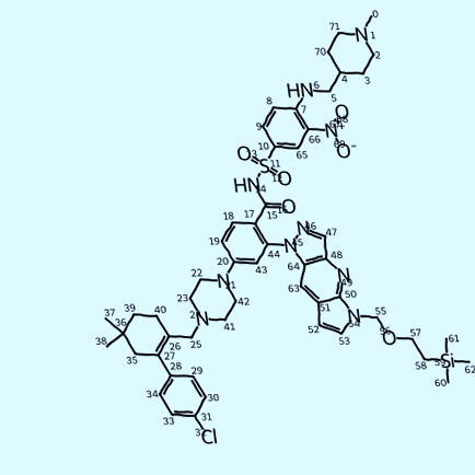 CN1CCC(CNc2ccc(S(=O)(=O)NC(=O)c3ccc(N4CCN(CC5=C(c6ccc(Cl)cc6)CC(C)(C)CC5)CC4)cc3-n3ncc4nc5c(ccn5COCC[Si](C)(C)C)cc43)cc2[N+](=O)[O-])CC1